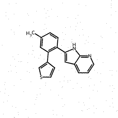 Cc1ccc(-c2cc3cccnc3[nH]2)c(-c2ccsc2)c1